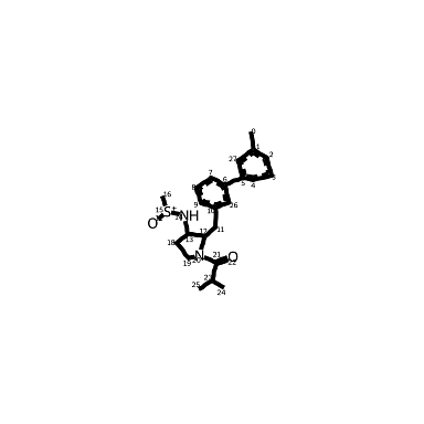 Cc1cccc(-c2cccc(CC3C(N[S+](C)[O-])CCN3C(=O)C(C)C)c2)c1